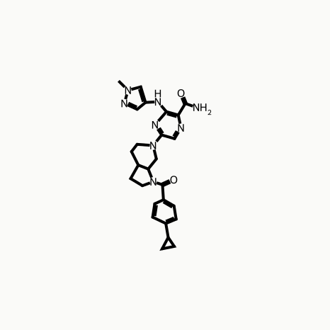 Cn1cc(Nc2nc(N3CCC4CCN(C(=O)c5ccc(C6CC6)cc5)C4C3)cnc2C(N)=O)cn1